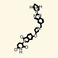 O=C1CCC(N2Cc3cc(OC4CCN(Cc5ccc6nc(N7C[C@H]8C[C@@H](C7)O8)ncc6c5)C4)ccc3C2=O)C(=O)N1